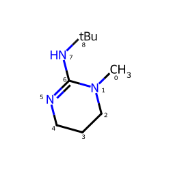 CN1CCCN=C1NC(C)(C)C